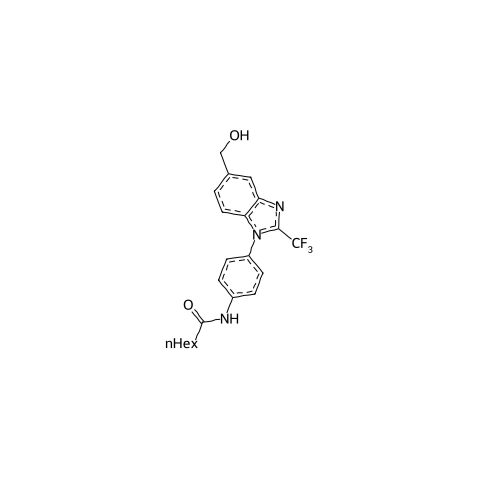 CCCCCCC(=O)Nc1ccc(-n2c(C(F)(F)F)nc3cc(CO)ccc32)cc1